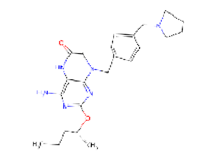 CCC[C@@H](C)Oc1nc(N)c2c(n1)N(Cc1ccc(CN3CCCC3)cc1)CC(=O)N2